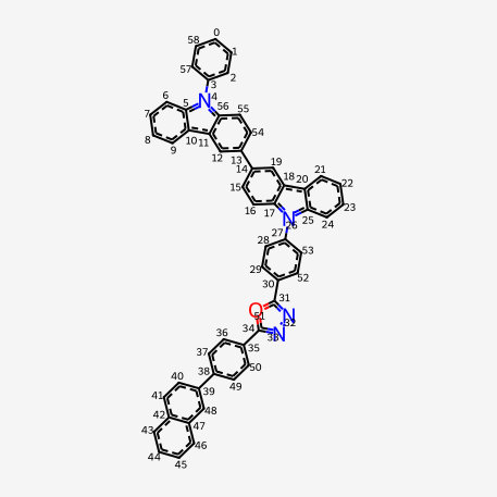 c1ccc(-n2c3ccccc3c3cc(-c4ccc5c(c4)c4ccccc4n5-c4ccc(-c5nnc(-c6ccc(-c7ccc8ccccc8c7)cc6)o5)cc4)ccc32)cc1